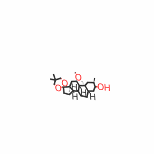 CO[C@H]1C[C@@]2(C)[C@@H](CCC23OCC(C)(C)CO3)[C@@H]2CC[C@H]3CC(O)[C@H](C)C[C@]3(C)[C@H]21